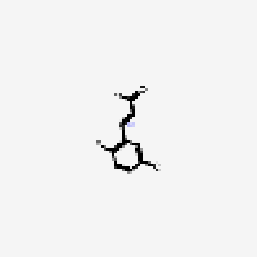 O=C(F)/C=C/c1cc(Cl)ccc1F